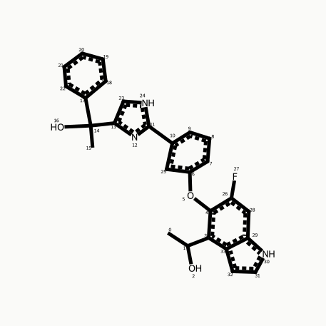 CC(O)c1c(Oc2cccc(-c3nc(C(C)(O)c4ccccc4)c[nH]3)c2)c(F)cc2[nH]ccc12